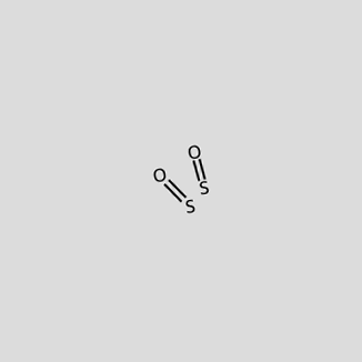 O=S.O=S